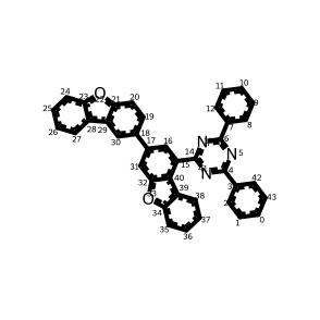 c1ccc(-c2nc(-c3ccccc3)nc(-c3cc(-c4ccc5oc6ccccc6c5c4)cc4oc5ccccc5c34)n2)cc1